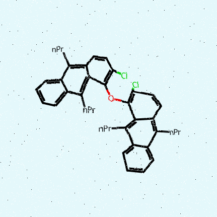 CCCc1c2ccccc2c(CCC)c2c(Oc3c(Cl)ccc4c(CCC)c5ccccc5c(CCC)c34)c(Cl)ccc12